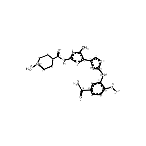 Cc1nc(NC(=O)C2CCN(C)CC2)sc1-c1csc(Nc2cc(C(N)=O)ccc2OC(C)C)n1